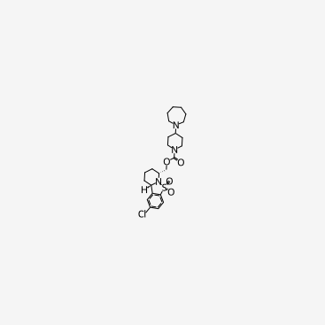 O=C(OC[C@H]1CCC[C@H]2c3cc(Cl)ccc3S(=O)(=O)N12)N1CCC(N2CCCCCC2)CC1